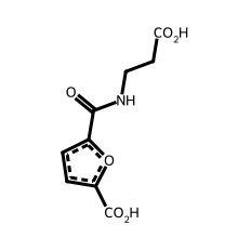 O=C(O)CCNC(=O)c1ccc(C(=O)O)o1